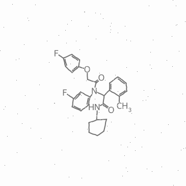 Cc1ccccc1C(C(=O)NC1CCCCC1)N(C(=O)COc1ccc(F)cc1)c1cccc(F)c1